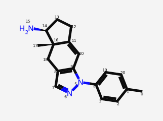 Cc1ccc(-n2ncc3c2C=C2CC[C@H](N)[C@@]2(C)C3)cc1